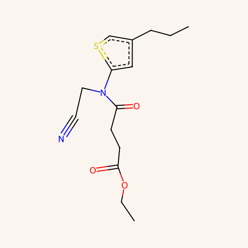 CCCc1csc(N(CC#N)C(=O)CCC(=O)OCC)c1